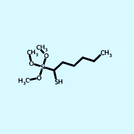 CCCCCC(S)[Si](OC)(OC)OC